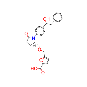 O=C(O)c1ccc(COC[C@@H]2CCC(=O)N2c2ccc(C(O)Cc3ccccc3)cc2)o1